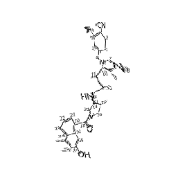 N#Cc1ccc(Cn2cncc2CCN[C@H]2CCN(C(=O)c3cccc4ccc(O)cc34)C2)cc1F